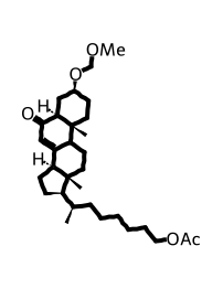 COCO[C@H]1CC[C@]2(C)C3CC[C@]4(C)[C@@H]([C@H](C)CCCCCCOC(C)=O)CC[C@H]4C3=CC(=O)[C@H]2C1